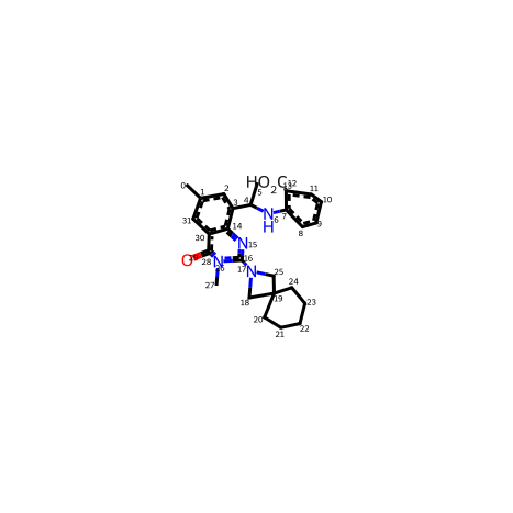 Cc1cc(C(C)Nc2ccccc2C(=O)O)c2nc(N3CC4(CCCCC4)C3)n(C)c(=O)c2c1